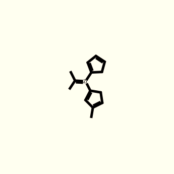 CC1=CC[C]([Zr]([C]2=CC=CC2)=[C](C)C)=C1